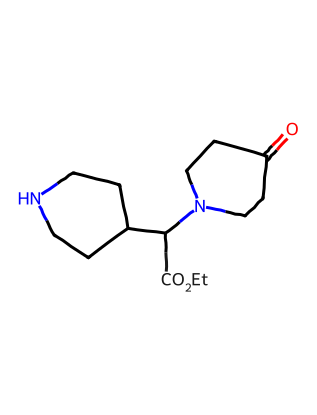 CCOC(=O)C(C1CCNCC1)N1CCC(=O)CC1